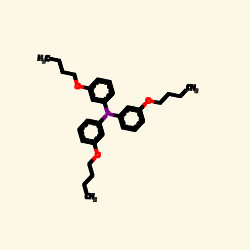 CCCCOc1cccc(P(c2cccc(OCCCC)c2)c2cccc(OCCCC)c2)c1